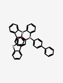 c1ccc(-c2ccc(N(c3ccc4sc5ccccc5c4c3)c3ccccc3-n3c4ccccc4c4ccccc43)cc2)cc1